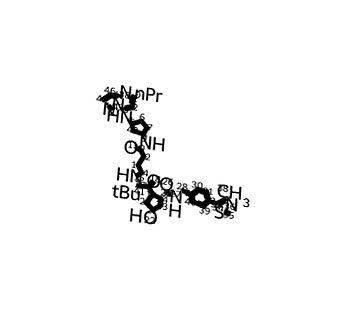 CCCc1cc(N[C@@H]2CC[C@@H](NC(=O)CCCNC(C(=O)C3C[C@H](O)C[C@H]3C(=O)NCc3ccc(-c4scnc4C)cc3)C(C)(C)C)C2)n2nccc2n1